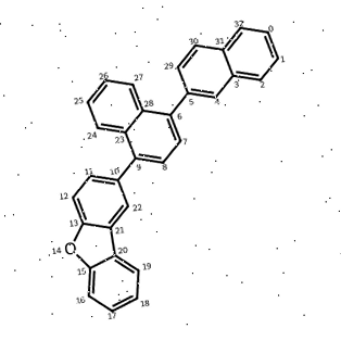 c1ccc2cc(-c3ccc(-c4ccc5oc6ccccc6c5c4)c4ccccc34)ccc2c1